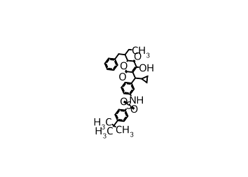 CCC(Cc1ccccc1)C1OC(=O)C(C(c2cccc(NS(=O)(=O)c3ccc(C(C)(C)C)cc3)c2)C2CC2)=C(O)C1=O